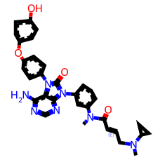 CN(C(=O)/C=C/CN(C)C1CC1)c1cccc(-n2c(=O)n(-c3ccc(Oc4ccc(O)cc4)cc3)c3c(N)ncnc32)c1